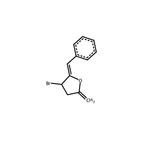 C=C1CC(Br)/C(=C/c2ccccc2)O1